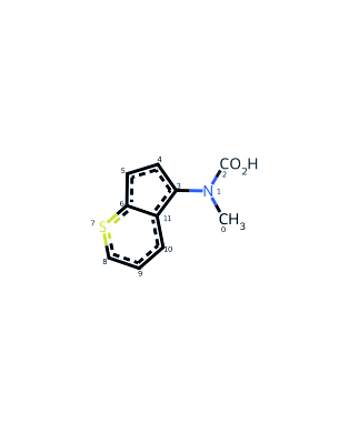 CN(C(=O)O)c1ccc2scccc1-2